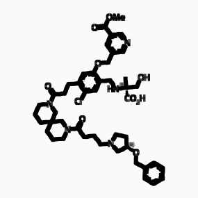 COC(=O)c1cncc(COc2cc(CCC(=O)N3CCCC4(CCCN(C(=O)CCCN5CC[C@@H](OCc6ccccc6)C5)C4)C3)c(Cl)cc2CN[C@@](C)(CO)C(=O)O)c1